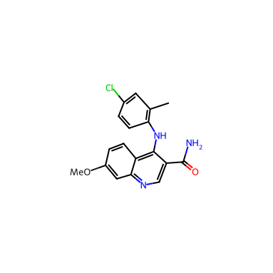 COc1ccc2c(Nc3ccc(Cl)cc3C)c(C(N)=O)cnc2c1